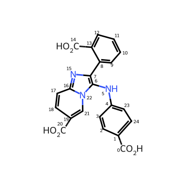 O=C(O)c1ccc(Nc2c(-c3ccccc3C(=O)O)nc3ccc(C(=O)O)cn23)cc1